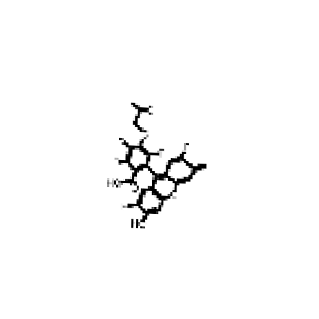 C=c1cc2c(cc1F)=C(c1c(F)c(SCC(C)=O)c(F)c(F)c1C(=O)O)c1cc(F)c(O)cc1O2